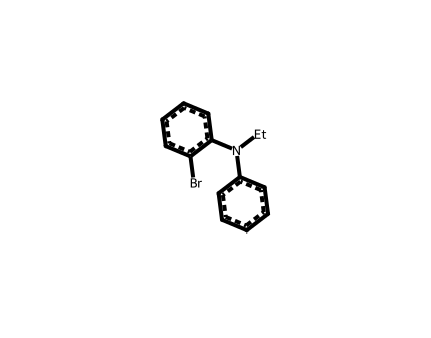 CCN(c1cc[c]cc1)c1ccccc1Br